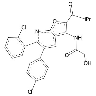 CC(C)C(=O)c1oc2nc(-c3ccccc3Cl)c(-c3ccc(Cl)cc3)cc2c1NC(=O)CO